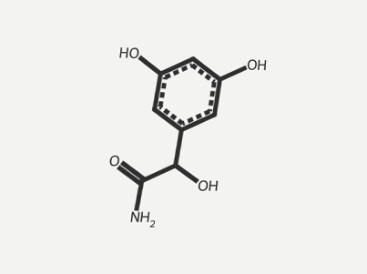 NC(=O)C(O)c1cc(O)cc(O)c1